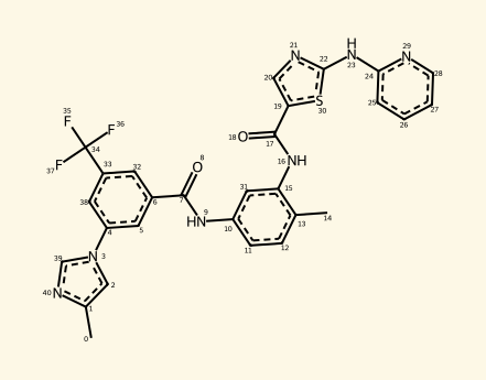 Cc1cn(-c2cc(C(=O)Nc3ccc(C)c(NC(=O)c4cnc(Nc5ccccn5)s4)c3)cc(C(F)(F)F)c2)cn1